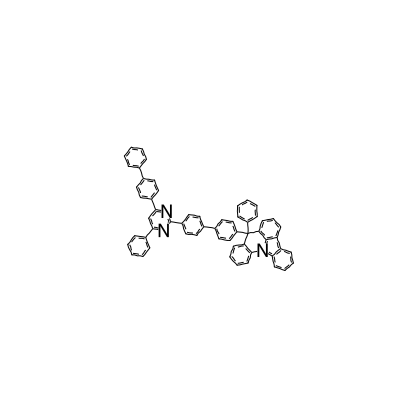 c1ccc(-c2ccc(-c3cc(-c4ccccc4)nc(-c4ccc(-c5ccc(C6(c7ccccc7)c7ccccc7-n7c8ccccc8c8cccc6c87)cc5)cc4)n3)cc2)cc1